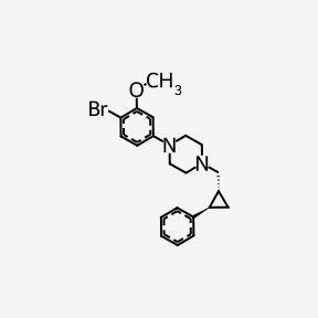 COc1cc(N2CCN(C[C@@H]3C[C@H]3c3ccccc3)CC2)ccc1Br